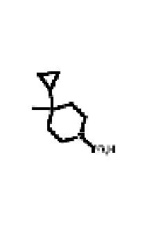 CC1(C2CC2)CCN(C(=O)O)CC1